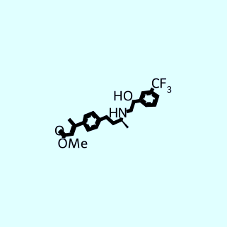 COC(=O)C=C(C)c1ccc(CC[C@H](C)NC[C@H](O)c2cccc(C(F)(F)F)c2)cc1